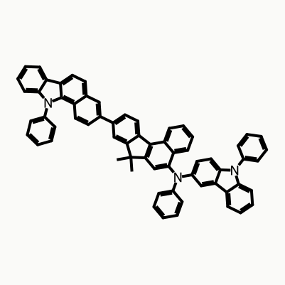 CC1(C)c2cc(-c3ccc4c(ccc5c6ccccc6n(-c6ccccc6)c45)c3)ccc2-c2c1cc(N(c1ccccc1)c1ccc3c(c1)c1ccccc1n3-c1ccccc1)c1ccccc21